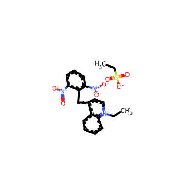 CCS(=O)(=O)[O-].CC[n+]1ccc(Cc2c([N+](=O)[O-])cccc2[N+](=O)[O-])c2ccccc21